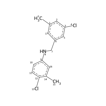 Cc1cc(Cl)cc(CNc2ccc(Cl)c(C)c2)c1